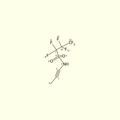 CC#CNS(=O)(=O)C(F)(F)C(F)(F)C(F)(F)F